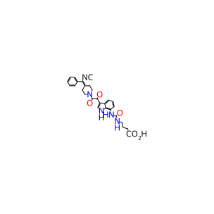 [C-]#[N+]C(=C1CCN(C(=O)C(=O)c2c[nH]c3c(NC(=O)NCCCC(=O)O)cccc23)CC1)c1ccccc1